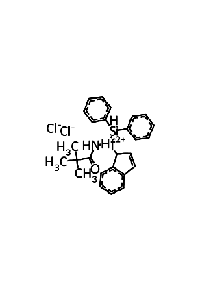 CC(C)(C)C(=O)[NH][Hf+2]([CH]1C=Cc2ccccc21)[SiH](c1ccccc1)c1ccccc1.[Cl-].[Cl-]